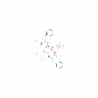 CN(CC(=O)[C@H](Cc1ccccc1)NC(=O)O)C[C@@H](O)[C@H](Cc1ccccc1)NC(=O)OC(C)(C)C